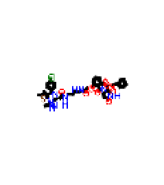 Cc1sc2c(c1C)C(c1ccc(Cl)cc1)=N[C@@H](CC(=O)NCCCCNC(=O)COc1cccc3c1C(=O)N([C@@]1(C(=O)OCc4ccccc4)CCC(=O)NC1=O)C3=O)c1nnc(C)n1-2